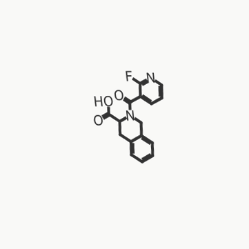 O=C(O)C1Cc2ccccc2CN1C(=O)c1cccnc1F